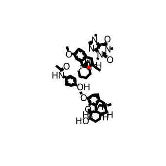 CC(=O)Nc1ccc(O)cc1.COc1ccc2c(c1)[C@]13CCCC[C@@H]1[C@H](C2)N(C)CC3.COc1ccc2c3c1O[C@H]1[C@@H](O)CC[C@H]4[C@@H](C2)N(C)CC[C@@]341.Cn1c(=O)c2c(ncn2C)n(C)c1=O